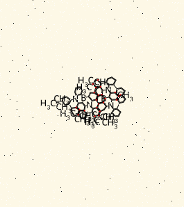 Cc1cc2c3c(c1)N(c1c(-c4ccccc4)cccc1-c1cccc(-c4ccc5c(c4)B4c6ccccc6N(c6ccc(C(C)(C)C)cc6-c6ccccc6)c6cc(C(C)(C)C)cc(c64)N5c4c(-c5ccccc5)cc(C(C)(C)C)cc4-c4ccccc4)c1)c1cc(C(C)(C)C)ccc1B3c1ccc(C(C)(C)C)cc1N2c1ccccc1-c1ccccc1